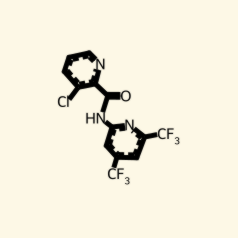 O=C(Nc1cc(C(F)(F)F)cc(C(F)(F)F)n1)c1ncccc1Cl